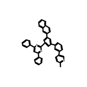 Cc1ccc(-c2cccc(-c3cc(-c4ccc5ccccc5c4)cc(-c4nc(-c5ccccc5)cc(-c5ccccc5)n4)c3)c2)cn1